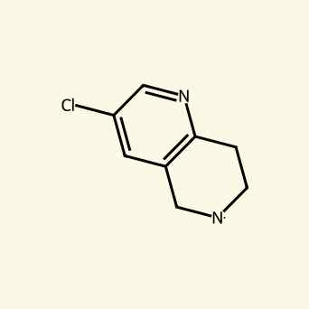 Clc1cnc2c(c1)C[N]CC2